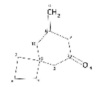 C=C1CC(=O)CC2(CCC2)C1